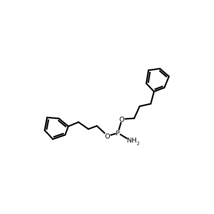 NP(OCCCc1ccccc1)OCCCc1ccccc1